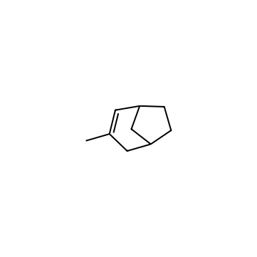 CC1=CC2CCC(C1)C2